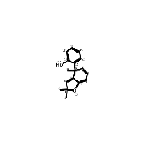 CC1(C)C=C2C(=CC=CC2(C)c2ccccc2O)O1